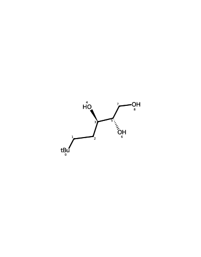 CC(C)(C)CC[C@@H](O)[C@@H](O)CO